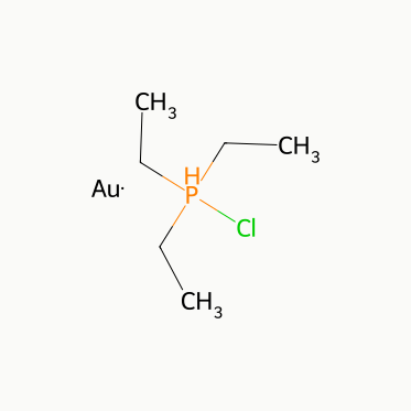 CC[PH](Cl)(CC)CC.[Au]